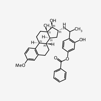 COc1ccc2c(c1)CC[C@@H]1[C@@H]2CC[C@]2(C)[C@@H](O)[C@H](NC(C)c3ccc(OC(=O)c4ccccc4)cc3O)C[C@@H]12